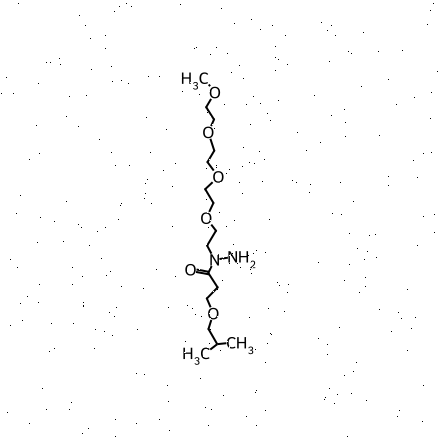 COCCOCCOCCOCCN(N)C(=O)CCOCC(C)C